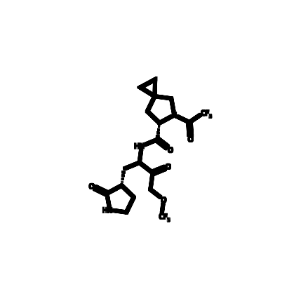 O=C(COC(F)(F)F)C(C[C@@H]1CCNC1=O)NC(=O)[C@@H]1CC2(CC2)CN1C(=O)C(F)(F)F